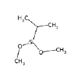 CO[Si](OC)C(C)C